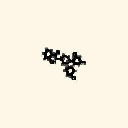 Cc1ccc(N2CCN(CC(=O)c3ccccc3O)C[C@H]2c2ccc(Cl)cc2)c(Cl)c1